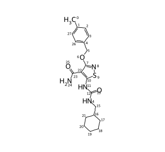 Cc1ccc(COc2nsc(NC(=O)NCC3CCCCC3)c2C(N)=O)cc1